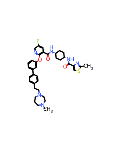 Cc1nc(C(=O)N[C@H]2CC[C@H](NC(=O)c3cc(F)cnc3Oc3cccc(-c4ccc(CCN5CCCN(C)CC5)cc4)c3)CC2)cs1